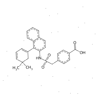 CC1(C)C=CC=C(c2c(NS(=O)(=O)Cc3ccc(C(=O)O)cc3)ccc3ccccc23)C1